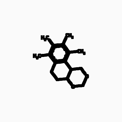 Cc1c(C)c(C)c2c(c1C)CCC1OCOCC21